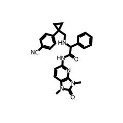 Cn1c(=O)n(C)c2nc(NC(=O)C(NCC3(c4ccc(C#N)cc4)CC3)c3ccccc3)ccc21